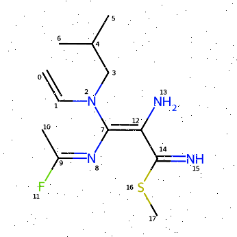 C=CN(CC(C)C)C(/N=C(\C)F)=C(\N)C(=N)SC